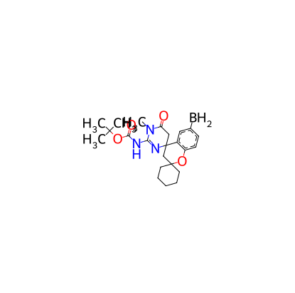 Bc1ccc2c(c1)C1(CC(=O)N(C)C(NC(=O)OC(C)(C)C)=N1)CC1(CCCCC1)O2